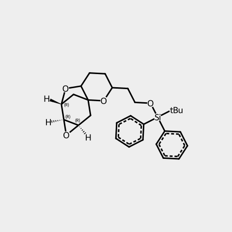 CC(C)(C)[Si](OCCC1CCC2O[C@@H]3CC2(C[C@H]2O[C@@H]32)O1)(c1ccccc1)c1ccccc1